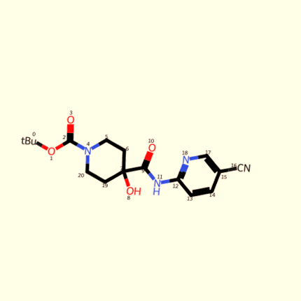 CC(C)(C)OC(=O)N1CCC(O)(C(=O)Nc2ccc(C#N)cn2)CC1